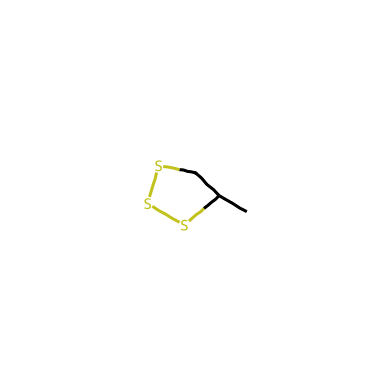 CC1CSSS1